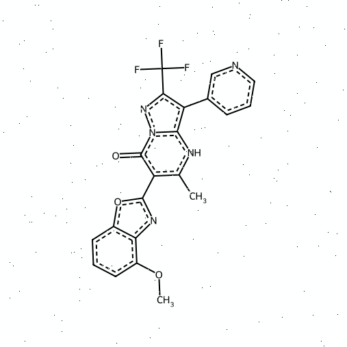 COc1cccc2oc(-c3c(C)[nH]c4c(-c5cccnc5)c(C(F)(F)F)nn4c3=O)nc12